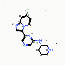 Clc1ccn2c(-c3cncc(N[C@@H]4CCCNC4)n3)cnc2c1